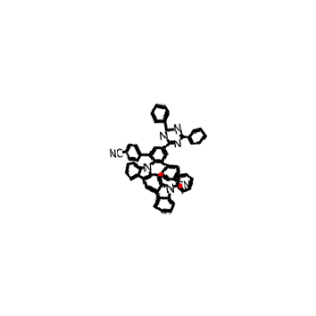 N#Cc1ccc(-c2cc(-c3nc(-c4ccccc4)nc(-c4ccccc4)n3)cc(-c3ccc(C#N)cc3)c2-n2c3ccccc3c3cc4c5ccccc5n(-c5ccccc5)c4cc32)cc1